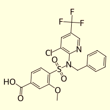 COc1cc(C(=O)O)ccc1S(=O)(=O)N(Cc1ccccc1)c1ncc(C(F)(F)F)cc1Cl